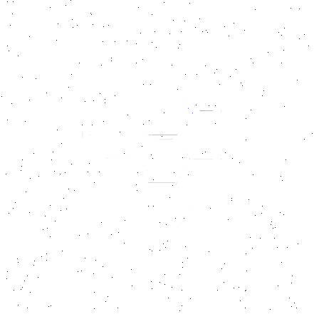 COc1cc(CO)cc([N+](=O)[O-])c1OC